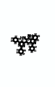 N=C1C(=N)c2c(c(-c3ccccc3)nc3ccccc23)C=C1c1cc(-c2ccccc2)nc(-c2ccccc2)n1